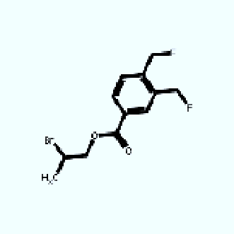 CC(Br)COC(=O)c1ccc(CF)c(CF)c1